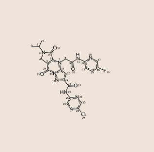 CC(C)N1Cc2c(n(CC(=O)Nc3ccc(F)cn3)c3cc(C(=O)Nc4ccc(Cl)cn4)nn3c2=O)C1=O